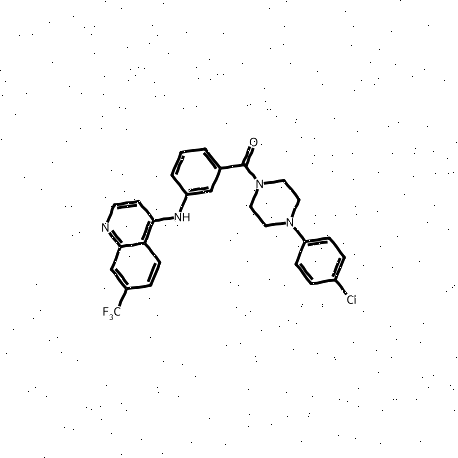 O=C(c1cccc(Nc2ccnc3cc(C(F)(F)F)ccc23)c1)N1CCN(c2ccc(Cl)cc2)CC1